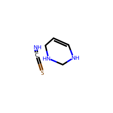 C1=CNCNC1.N=C=S